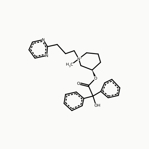 C[N+]1(CCCc2ncccn2)CCC[C@@H](OC(=O)C(O)(c2ccccc2)c2ccccc2)C1